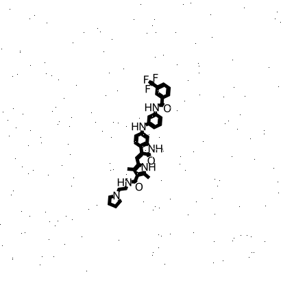 Cc1[nH]c(/C=C2\C(=O)Nc3cc(Nc4cccc(NC(=O)c5cccc(C(F)(F)F)c5)c4)ccc32)c(C)c1C(=O)NCCN1CCCC1